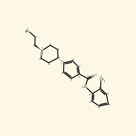 CC(C)CC[Si@H]1CC[C@H](c2ccc(C(=O)Oc3ccccc3C(F)(F)F)cc2)CC1